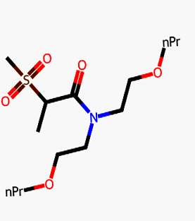 CCCOCCN(CCOCCC)C(=O)C(C)S(C)(=O)=O